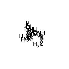 CCCCN1CC(Nc2ccc(C3c4[nH]c5cc(F)ccc5c4CC(C)N3CC(F)(F)CO)cc2)C1